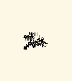 CC(C)[C@H](NC(=O)NC(C(=O)N1CC(C(C)(C)C2CCC2)C[C@H]1C(=O)NC(CC1CCC1)C(=O)C(N)=O)C(C)(C)C)C(=O)N1C[C@@H](C)O[C@@H](C)C1